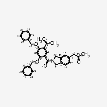 C=C(C)c1cc(C(=O)N2Cc3ccc(CC(C)=O)cc3C2)c(OCc2ccccc2)cc1OCc1ccccc1